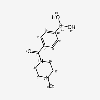 CCN1CCN(C(=O)c2ccc(B(O)O)cc2)CC1